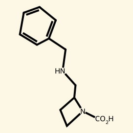 O=C(O)N1CCC1CNCc1ccccc1